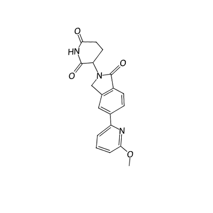 COc1cccc(-c2ccc3c(c2)CN(C2CCC(=O)NC2=O)C3=O)n1